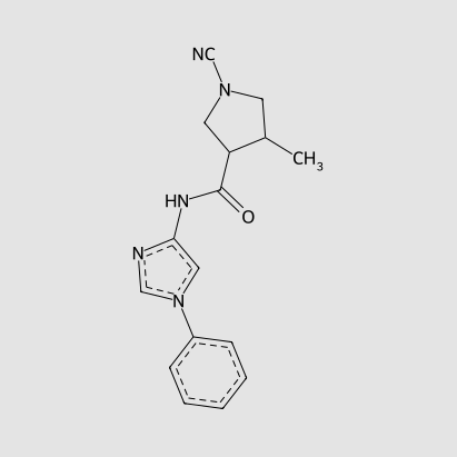 CC1CN(C#N)CC1C(=O)Nc1cn(-c2ccccc2)cn1